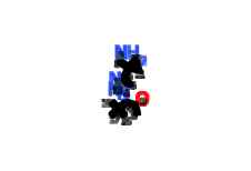 CC(=O)C(n1cc(C2(CN)CC2)nn1)C(C)(C)C